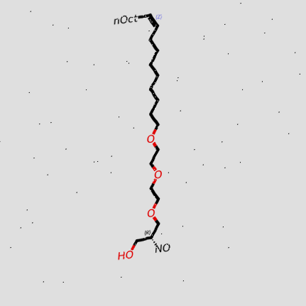 CCCCCCCC/C=C\CCCCCCCCOCCOCCOC[C@@H](CO)N=O